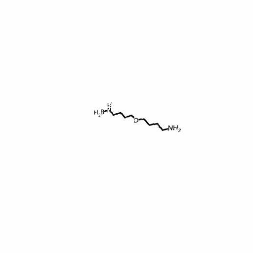 BNCCCCOCCCCN